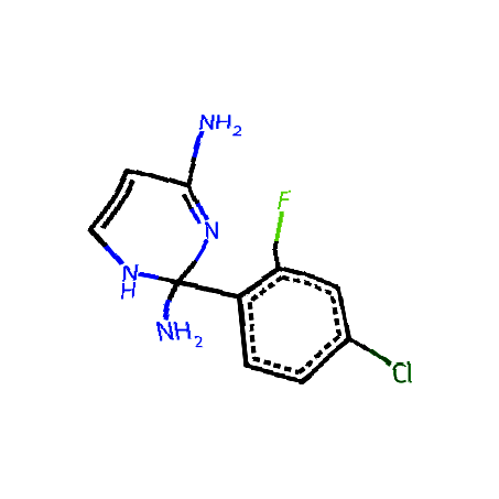 NC1=NC(N)(c2ccc(Cl)cc2F)NC=C1